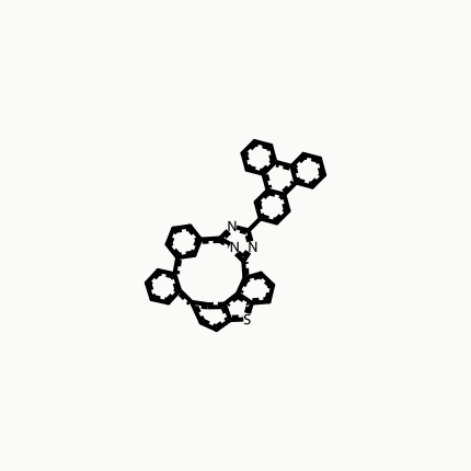 c1cc2cc(c1)c1ccccc1c1ccc3sc4cccc(c5nc(-c6ccc7c8ccccc8c8ccccc8c7c6)nc2n5)c4c3c1